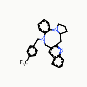 FC(F)(F)c1ccc(CN2Cc3cc4ccccc4nc3CC3CCCN3c3ccccc32)cc1